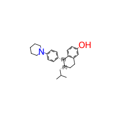 CC(C)C[C@H]1CCc2cc(O)ccc2[C@H]1c1ccc(N2CCCCC2)cc1